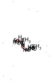 COc1cc2nn([C@H]3CC[C@H](CN4CCN(c5cccc6c(N7CCC(=O)N(C)C7=O)cncc56)CC4)CC3)cc2cc1NC(=O)c1cccc(C(F)(F)F)n1